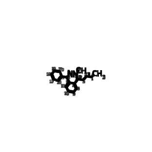 CCCCC(NC)c1ccccc1C(N)c1ccccc1